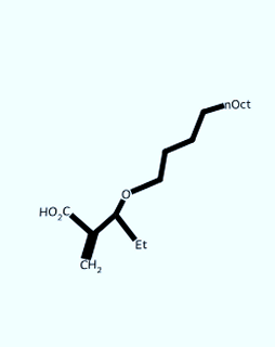 C=C(C(=O)O)C(CC)OCCCCCCCCCCCC